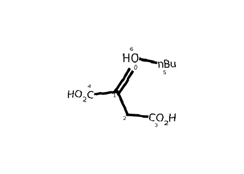 C=C(CC(=O)O)C(=O)O.CCCCO